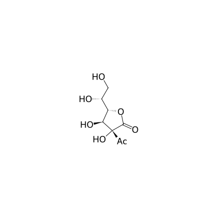 CC(=O)[C@]1(O)C(=O)O[C@@H]([C@H](O)CO)[C@@H]1O